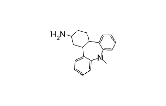 CN1c2ccccc2C2CCC(N)CC2c2ccccc21